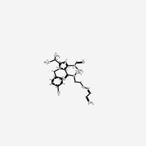 C=C/C=N\OCCN(C)C(=O)c1c(N(C)C=O)nc(C(C)C)n1Cc1ccc(Cl)cc1